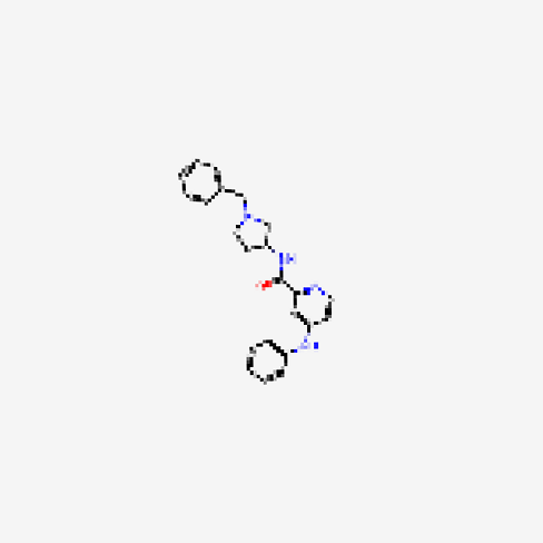 O=C(NC1CCN(Cc2ccccc2)C1)c1cc(Nc2ccccc2)ccn1